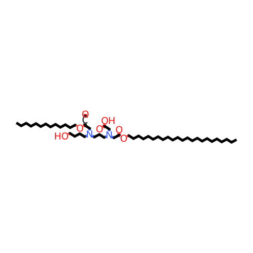 CCCCCCCCCCCCCCCCCCCCCCCOC(=O)CN(CCCN(CCCCO)CC(=C=O)OCCCCCCCCCCCCC)CC(=O)O